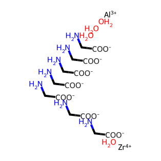 NCC(=O)[O-].NCC(=O)[O-].NCC(=O)[O-].NCC(=O)[O-].NCC(=O)[O-].NCC(=O)[O-].NCC(=O)[O-].O.O.O.O.[Al+3].[Zr+4]